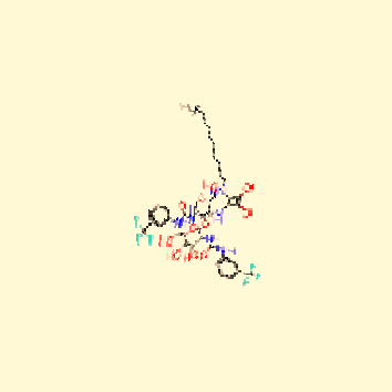 CCCCCCCCCCNc1c(N[C@H]2C(CO)OCC(NC(=O)Nc3cccc(C(F)(F)F)c3)[C@H]2O[C@@H]2OC(CO)[C@@H](O)[C@H](O)C2NC(=O)Nc2cccc(C(F)(F)F)c2)c(=O)c1=O